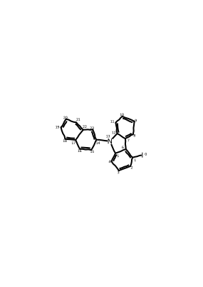 Ic1cccc2c1c1ccccc1n2-c1ccc2ccccc2c1